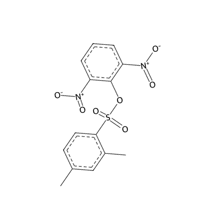 Cc1ccc(S(=O)(=O)Oc2c([N+](=O)[O-])cccc2[N+](=O)[O-])c(C)c1